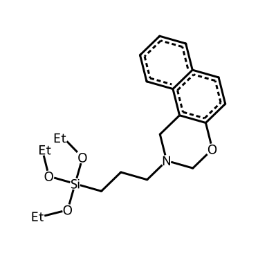 CCO[Si](CCCN1COc2ccc3ccccc3c2C1)(OCC)OCC